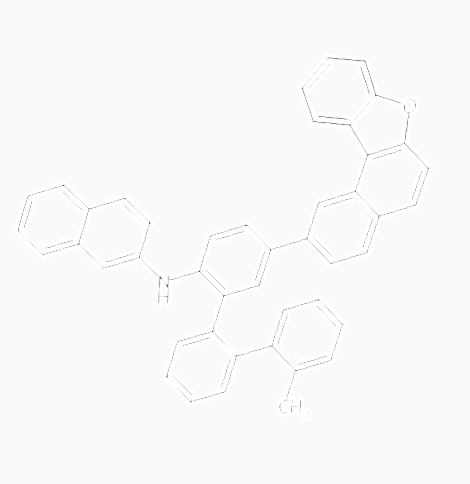 Cc1ccccc1-c1ccccc1-c1cc(-c2ccc3ccc4oc5ccccc5c4c3c2)ccc1Nc1ccc2ccccc2c1